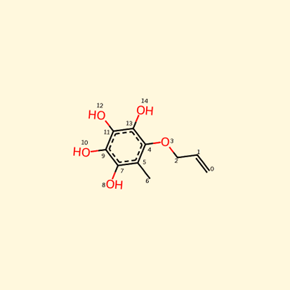 C=CCOc1c(C)c(O)c(O)c(O)c1O